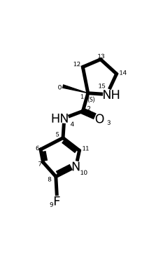 C[C@@]1(C(=O)Nc2ccc(F)nc2)CCCN1